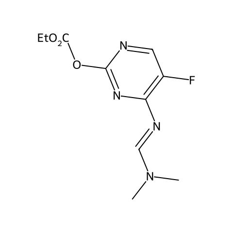 CCOC(=O)Oc1ncc(F)c(/N=C/N(C)C)n1